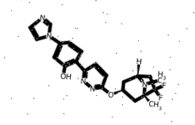 CN1[C@@H]2C[C@H](Oc3ccc(-c4ccc(-n5ccnc5)cc4O)nn3)C[C@@]1(C)C(F)(F)C2